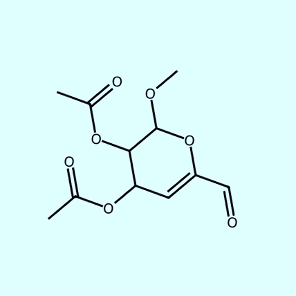 COC1OC(C=O)=CC(OC(C)=O)C1OC(C)=O